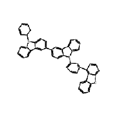 C1=CCC(n2c3ccccc3c3cc(-c4ccc5c(c4)c4ccccc4n5-c4cccc(-c5cccc6oc7ccccc7c56)c4)ccc32)C=C1